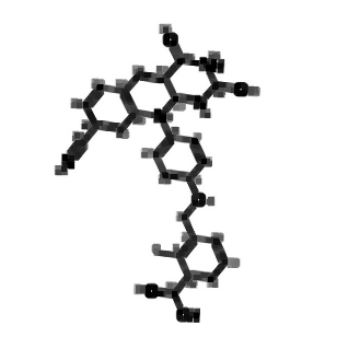 Cc1c(COc2ccc(-n3c4nc(=O)[nH]c(=O)c-4cc4ccc(C#N)cc43)cc2)cccc1C(=O)O